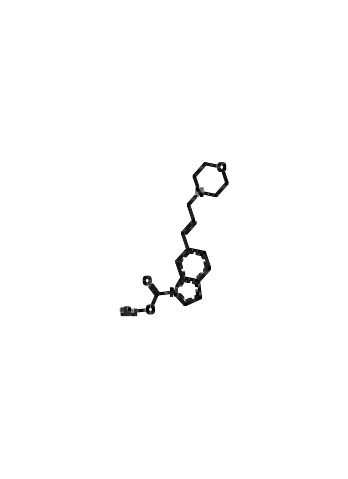 CC(C)(C)OC(=O)n1ccc2ccc(/C=C/CN3CCOCC3)cc21